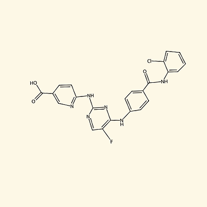 O=C(O)c1ccc(Nc2ncc(F)c(Nc3ccc(C(=O)Nc4ccccc4Cl)cc3)n2)nc1